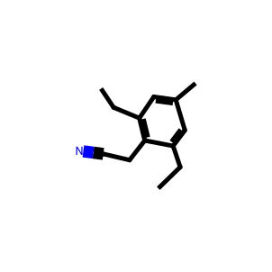 CCc1cc(C)cc(CC)c1CC#N